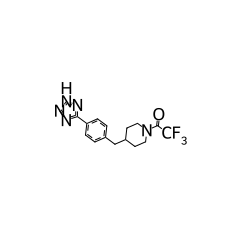 O=C(N1CCC(Cc2ccc(-c3nn[nH]n3)cc2)CC1)C(F)(F)F